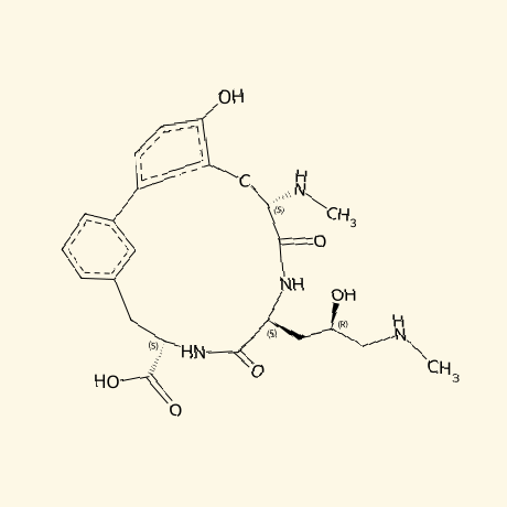 CNC[C@H](O)C[C@@H]1NC(=O)[C@@H](NC)Cc2cc(ccc2O)-c2cccc(c2)C[C@@H](C(=O)O)NC1=O